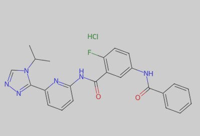 CC(C)n1cnnc1-c1cccc(NC(=O)c2cc(NC(=O)c3ccccc3)ccc2F)n1.Cl